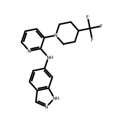 FC(F)(F)C1C[CH]N(c2cccnc2Nc2ccc3cn[nH]c3c2)CC1